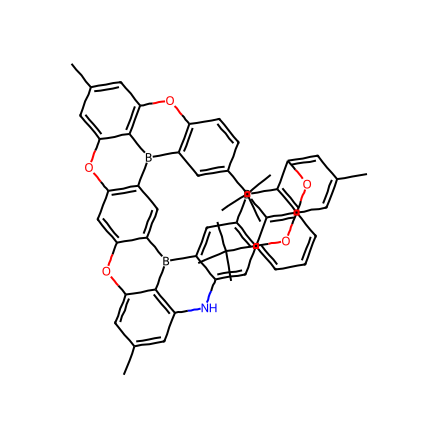 Cc1cc2c3c(c1)Oc1cc4c(cc1B3c1cc3c(cc1N2)Oc1cc(C)cc2c1B3c1c(cccc1C(C)(C)C)O2)B1c2cc(C(C)(C)C)ccc2Oc2cc(C)cc(c21)O4